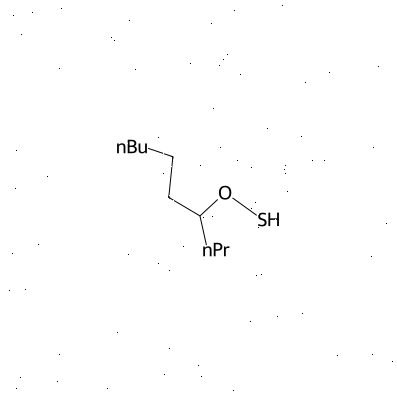 CCCCCCC(CCC)OS